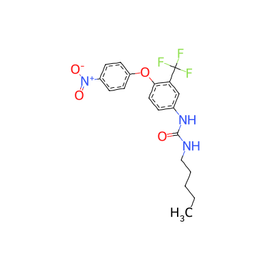 CCCCCNC(=O)Nc1ccc(Oc2ccc([N+](=O)[O-])cc2)c(C(F)(F)F)c1